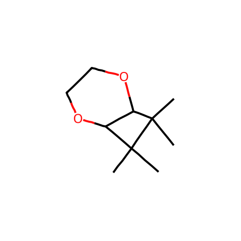 CC1(C)C2OCCOC2C1(C)C